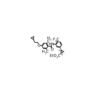 CCOC(=O)[C@@H]1C[C@@H]1c1ccc(C(F)(F)F)c(NC(=O)c2c(C)cc(OCCC3CC3)cc2C)c1